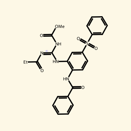 CCC(=O)/N=C(/NC(=O)OC)Nc1cc(S(=O)(=O)c2ccccc2)ccc1NC(=O)c1ccccc1